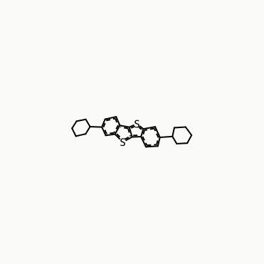 c1cc2c(cc1C1CCCCC1)sc1c3ccc(C4CCCCC4)cc3sc21